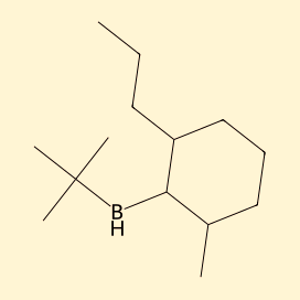 CCCC1CCCC(C)C1BC(C)(C)C